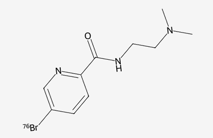 CN(C)CCNC(=O)c1ccc([76Br])cn1